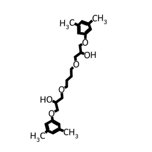 Cc1cc(C)cc(OCC(O)COCCCCOCC(O)COc2cc(C)cc(C)c2)c1